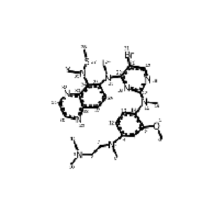 COc1cc(N(C)CCN(C)C)ccc1N(C)c1ncc(Br)c(N(I)c2ccc3nccnc3c2N(C)SC)n1